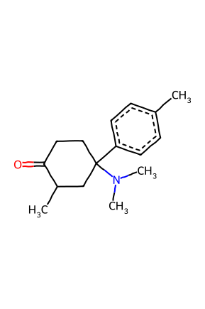 Cc1ccc(C2(N(C)C)CCC(=O)C(C)C2)cc1